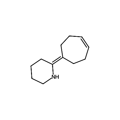 C1=CCCC(=C2CCCCN2)CC1